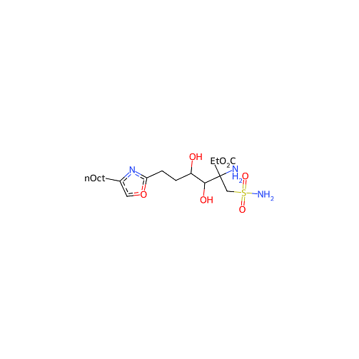 CCCCCCCCc1coc(CCC(O)C(O)C(N)(CS(N)(=O)=O)C(=O)OCC)n1